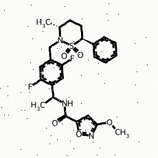 COc1cc(C(=O)NC(C)c2cc(F)c(CN3[C@H](C)CC[C@@H](c4ccccc4)S3(=O)=O)cc2F)on1